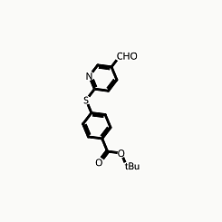 CC(C)(C)OC(=O)c1ccc(Sc2ccc(C=O)cn2)cc1